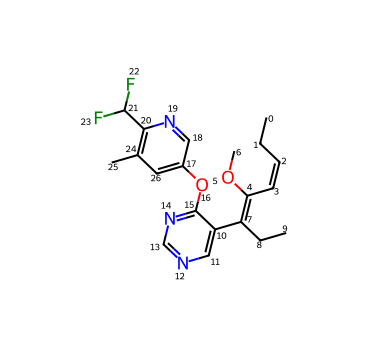 CC/C=C\C(OC)=C(/CC)c1cncnc1Oc1cnc(C(F)F)c(C)c1